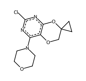 Clc1nc2c(c(N3CCOCC3)n1)OCC1(CC1)O2